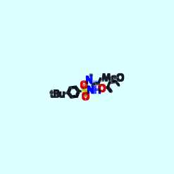 C=N/C(NS(=O)(=O)c1ccc(C(C)(C)C)cc1)=C(\C)OC(=C)/C(=C\C)OC